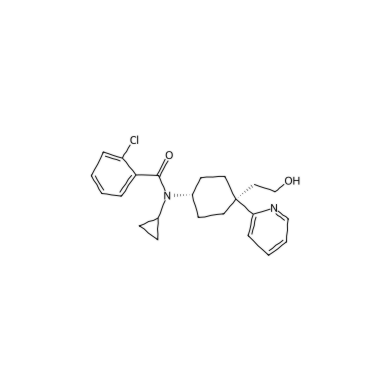 O=C(c1ccccc1Cl)N(C1CC1)[C@H]1CC[C@](CCO)(c2ccccn2)CC1